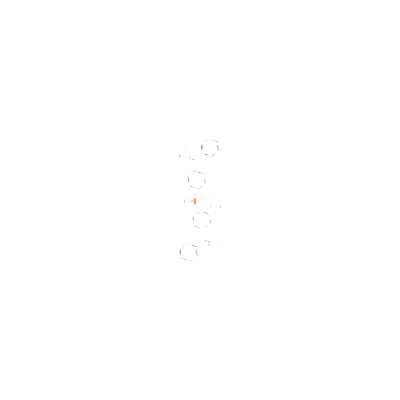 O=PP(=O)(c1ccc(C(=O)c2ccccc2)cc1)c1ccc(C(=O)c2ccccc2)cc1